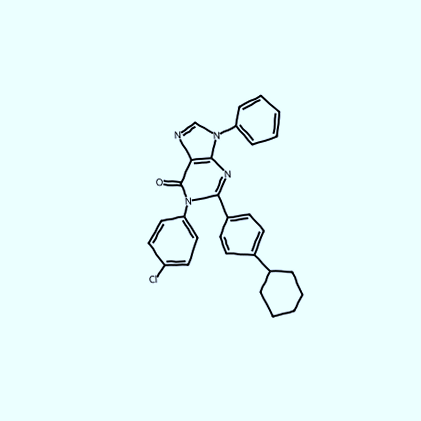 O=c1c2ncn(-c3ccccc3)c2nc(-c2ccc(C3CCCCC3)cc2)n1-c1ccc(Cl)cc1